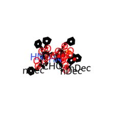 CCCCCCCCCCCC(=O)O[C@H](CCCCCCCCCCC)CC(=O)N[C@@H]1[C@H](OC[C@H]2O[C@H](OCC=O)[C@@H](NC(=O)C[C@@H](CCCCCCCCCCC)OCc3ccccc3)[C@@H](OCc3ccccc3)[C@@H]2OCc2ccccc2)O[C@H](COCc2ccccc2)[C@@H](OP(=O)(OCc2ccccc2)OCc2ccccc2)[C@@H]1OCc1ccccc1